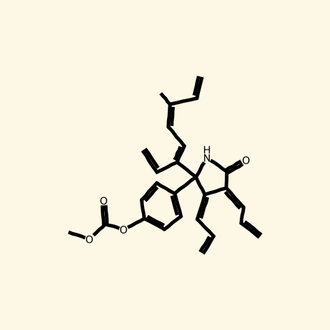 C=C/C=C1/C(=O)NC(/C(C=C)=C/C=C(/C)C=C)(c2ccc(OC(=O)OC)cc2)/C1=C/C=C